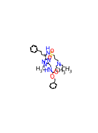 CCN(CC)CCCS(=O)(=O)N[C@H](CCc1ccccc1)c1nc(CNC(=O)OCc2ccccc2)n(C)n1